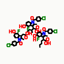 CCC(C)C(C(=O)O)c1c(C)n(C(=O)c2ccc(Cl)cc2)c2ccc(O)c(F)c12.CCCCC(C(=O)O)c1c(C)n(C(=O)c2ccc(Cl)cc2)c2ccc(O)c(F)c12.Cc1c(CC(=O)O)c2c(F)c(O)ccc2n1C(=O)c1ccc(Cl)cc1